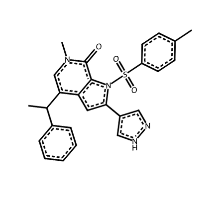 Cc1ccc(S(=O)(=O)n2c(-c3cn[nH]c3)cc3c(C(C)c4ccccc4)cn(C)c(=O)c32)cc1